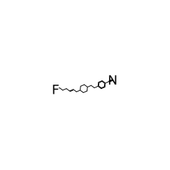 N#Cc1ccc(CCC2CCC(CC=CCCCF)CC2)cc1